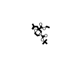 C=C(C)CC1(C(=O)OCC)CN(C(=O)OC(C)(C)C)CCO1